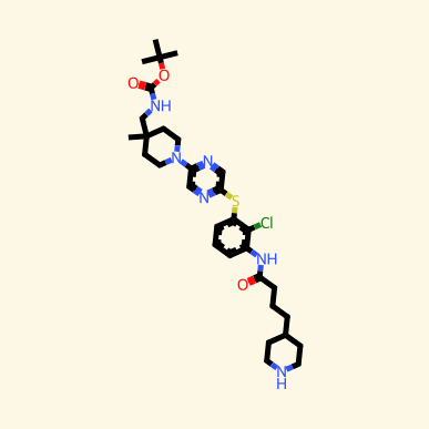 CC1(CNC(=O)OC(C)(C)C)CCN(c2cnc(Sc3cccc(NC(=O)CCCC4CCNCC4)c3Cl)cn2)CC1